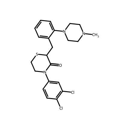 CN1CCN(c2ccccc2CC2SCCN(c3ccc(Cl)c(Cl)c3)C2=O)CC1